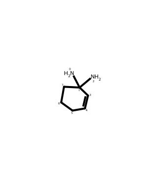 NC1(N)C=CCCC1